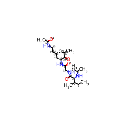 CCC(C)[C@H](NC(C)C)C(=O)NCC(=O)N[C@@H](CCCCNC(C)=O)C(=O)C(C)C